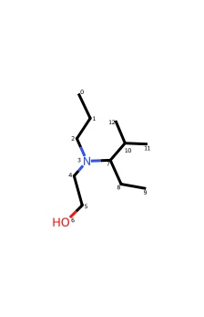 CCCN(CCO)C(CC)C(C)C